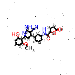 COc1cccc(O)c1-c1cc(-c2cccc(NC(=O)C3CCC(=O)O3)c2)c(C#N)c(N)n1